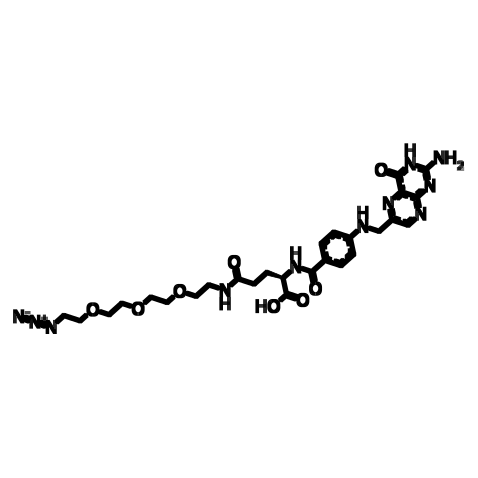 [N-]=[N+]=NCCOCCOCCOCCNC(=O)CC[C@@H](NC(=O)c1ccc(NCc2cnc3nc(N)[nH]c(=O)c3n2)cc1)C(=O)O